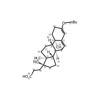 CCCCOC1=CC2=CC[C@@H]3[C@H](CC[C@@]4(C)[C@H]3CC[C@]4(O)CCC(=O)O)[C@@]2(C)CC1